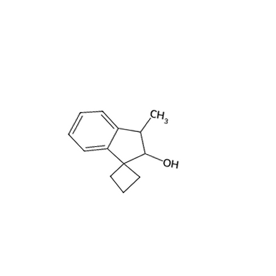 CC1c2ccccc2C2(CCC2)C1O